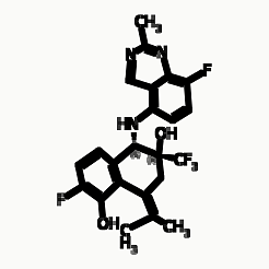 CC(C)=C1C[C@](O)(C(F)(F)F)[C@@H](Nc2ccc(F)c3nc(C)ncc23)c2ccc(F)c(O)c21